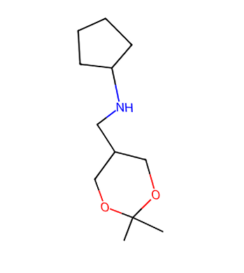 CC1(C)OCC(CNC2CCCC2)CO1